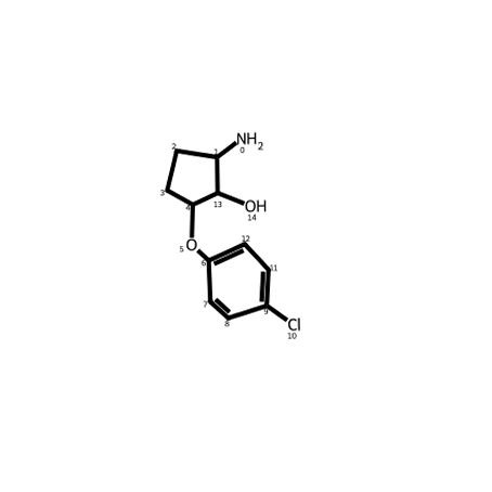 NC1CCC(Oc2ccc(Cl)cc2)C1O